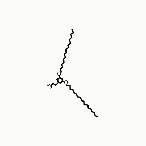 CCCCCC=CCC=CCCCCCCCCOc1cc(CCN(C)C)cc(OCCCCCCCCC=CCC=CCCCCC)c1